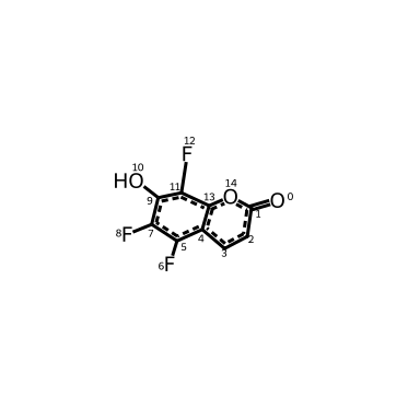 O=c1ccc2c(F)c(F)c(O)c(F)c2o1